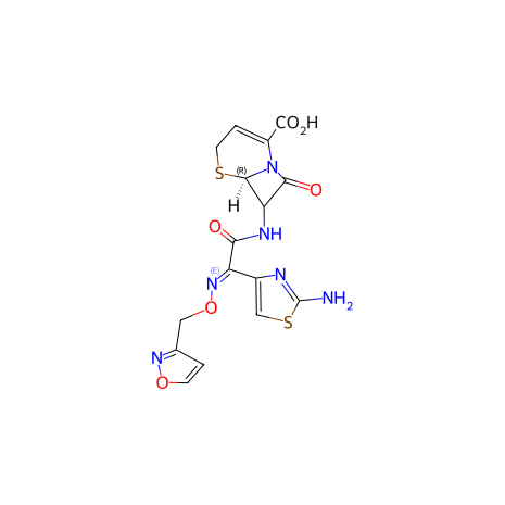 Nc1nc(/C(=N\OCc2ccon2)C(=O)NC2C(=O)N3C(C(=O)O)=CCS[C@H]23)cs1